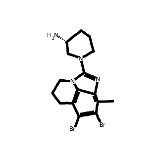 Cc1c(Br)c(Br)c2c3c1nc(N1CCC[C@@H](N)C1)n3CCC2